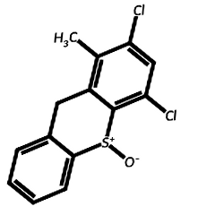 Cc1c(Cl)cc(Cl)c2c1Cc1ccccc1[S+]2[O-]